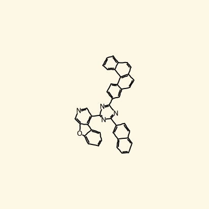 c1ccc2cc(-c3nc(-c4ccc5c(ccc6ccc7ccccc7c65)c4)nc(-c4cncc5oc6ccccc6c45)n3)ccc2c1